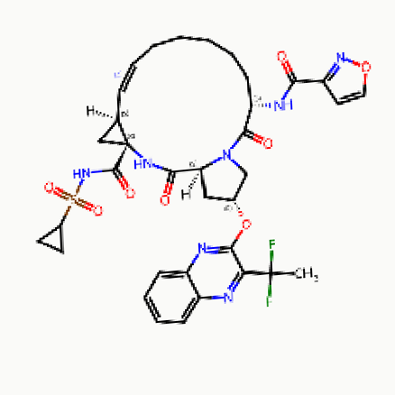 CC(F)(F)c1nc2ccccc2nc1O[C@@H]1C[C@H]2C(=O)N[C@]3(C(=O)NS(=O)(=O)C4CC4)C[C@H]3/C=C\CCCCC[C@H](NC(=O)c3ccon3)C(=O)N2C1